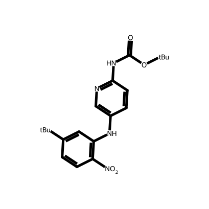 CC(C)(C)OC(=O)Nc1ccc(Nc2cc(C(C)(C)C)ccc2[N+](=O)[O-])cn1